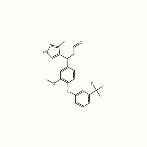 COc1cc(C(CC=O)c2c[nH]nc2C)ccc1Oc1cccc(C(F)(F)F)c1